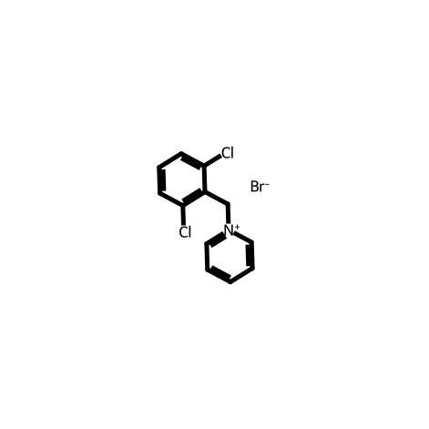 Clc1cccc(Cl)c1C[n+]1ccccc1.[Br-]